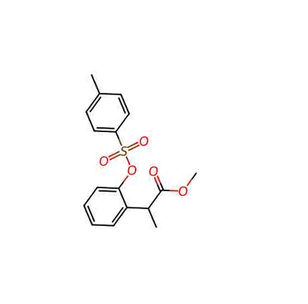 COC(=O)C(C)c1ccccc1OS(=O)(=O)c1ccc(C)cc1